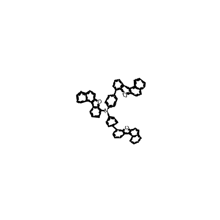 c1ccc2c(c1)ccc1oc3c(-c4ccc(N(c5ccc(-c6cccc7c6oc6ccc8ccccc8c67)cc5)c5cccc6c5oc5ccc7ccccc7c56)cc4)cccc3c12